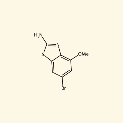 COc1cc(Br)cc2sc(N)nc12